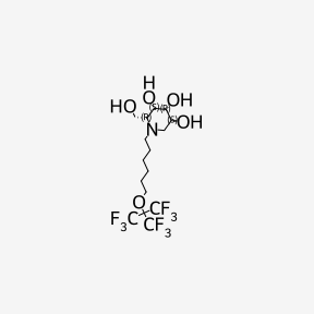 OC[C@@H]1[C@H](O)[C@H](O)[C@@H](O)CN1CCCCCCOC(C(F)(F)F)(C(F)(F)F)C(F)(F)F